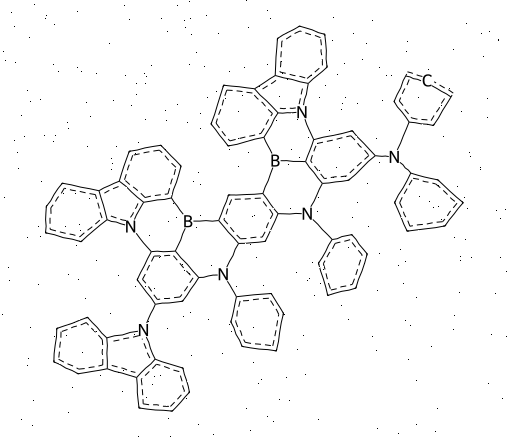 c1ccc(N(c2ccccc2)c2cc3c4c(c2)-n2c5ccccc5c5cccc(c52)B4c2cc4c(cc2N3c2ccccc2)N(c2ccccc2)c2cc(-n3c5ccccc5c5ccccc53)cc3c2B4c2cccc4c5ccccc5n-3c24)cc1